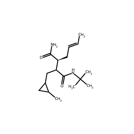 C/C=C/C[C@H](C(N)=O)C(CC1CC1C)C(=O)NC(C)(C)C